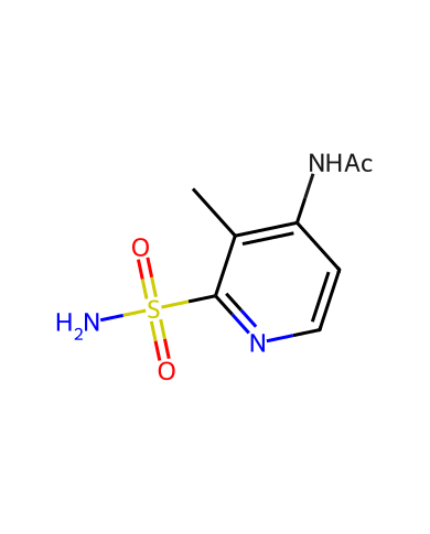 CC(=O)Nc1ccnc(S(N)(=O)=O)c1C